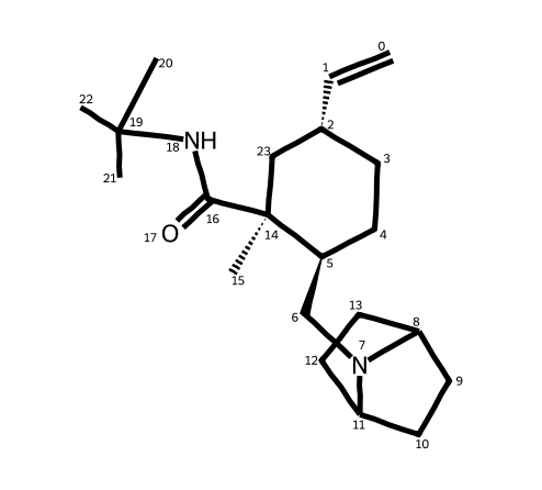 C=C[C@@H]1CC[C@@H](CN2C3CCC2CC3)[C@@](C)(C(=O)NC(C)(C)C)C1